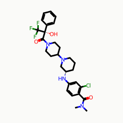 CN(C)C(=O)c1ccc(N[C@H]2CCCN(C3CCN(C(=O)[C@](O)(c4ccccc4)C(F)(F)F)CC3)C2)cc1Cl